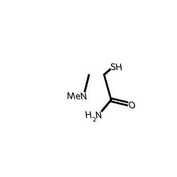 CNC.NC(=O)CS